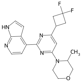 CC1COCCN1c1cc(C2CC(F)(F)C2)nc(-c2ccnc3[nH]ccc23)n1